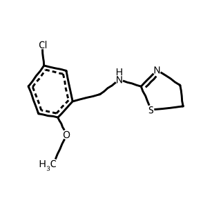 COc1ccc(Cl)cc1CNC1=NCCS1